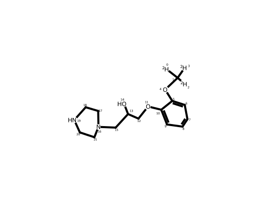 [2H]C([2H])([2H])Oc1ccccc1OCC(O)CN1CCNCC1